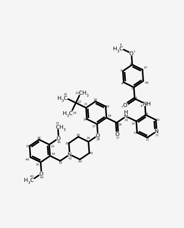 COc1ccc(C(=O)Nc2cnccc2NC(=O)c2ccc(C(C)(C)C)cc2OC2CCN(Cc3c(OC)cccc3OC)CC2)cc1